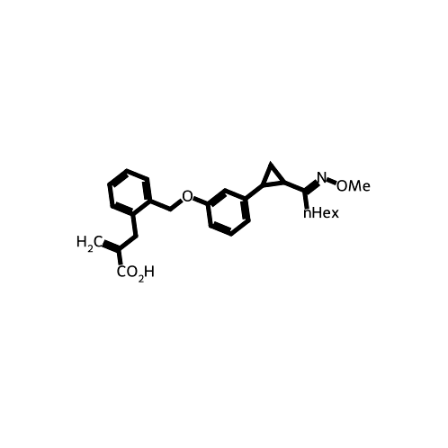 C=C(Cc1ccccc1COc1cccc(C2CC2C(CCCCCC)=NOC)c1)C(=O)O